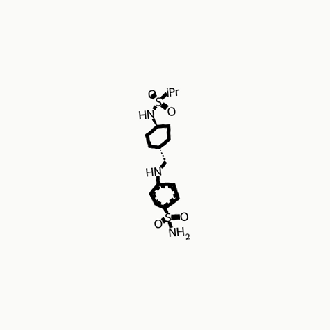 CC(C)S(=O)(=O)N[C@H]1CC[C@H](CNc2ccc(S(N)(=O)=O)cc2)CC1